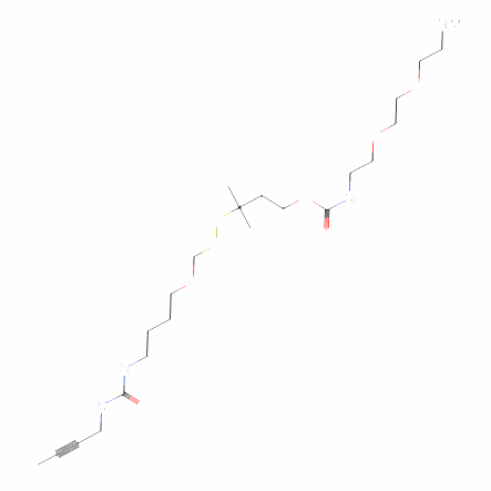 CNCCOCCOCCNC(=O)OCCC(C)(C)SSCOCCCCNC(=O)NCC#CC(C)C